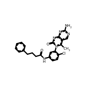 Cc1c2cnc(N)nc2nc(=O)n1-c1cc(NC(=O)CCCc2ccccc2)ccc1Cl